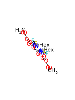 C=CC(=O)OCCCCCCOc1ccc(OC(=O)C2CCC(C(=O)Oc3ccc(-c4ccc(OC(=O)C5CCC(C(=O)Oc6ccc(OCCCCCCOC(=O)C=C)cc6)CC5)c(/C=N/N(CCCCCC)c5nc6ccc(F)cc6s5)c4)cc3/C=N/N(CCCCCC)c3nc4ccc(F)cc4s3)CC2)cc1